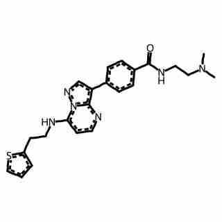 CN(C)CCNC(=O)c1ccc(-c2cnn3c(NCCc4cccs4)ccnc23)cc1